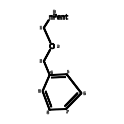 CCCCCCOCc1ccccc1